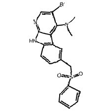 CN(C)c1c(Br)cnc2[nH]c3ccc(CS(=O)(=O)c4ccccc4)cc3c12